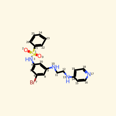 O=S(=O)(Nc1cc(Br)cc(NCCNc2ccncc2)c1)c1ccccc1